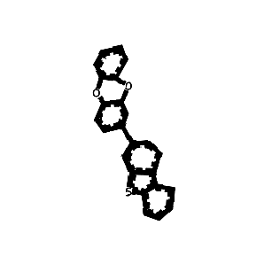 c1ccc2c(c1)Oc1ccc(-c3ccc4c(c3)sc3ccccc34)cc1O2